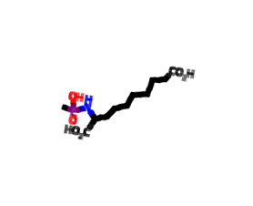 CP(=O)(O)NC(CCCCCCCC(=O)O)C(=O)O